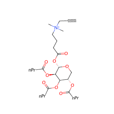 C#CC[N+](C)(C)CCCC(=O)O[C@@H]1OC[C@H](OC(=O)CCC)C(OC(=O)CCC)[C@H]1OC(=O)CCC